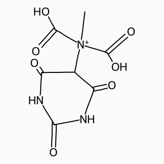 C[N+](C(=O)O)(C(=O)O)C1C(=O)NC(=O)NC1=O